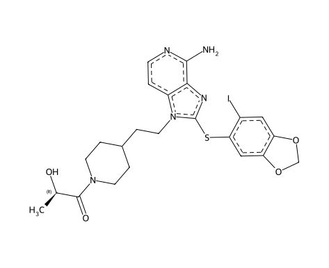 C[C@@H](O)C(=O)N1CCC(CCn2c(Sc3cc4c(cc3I)OCO4)nc3c(N)nccc32)CC1